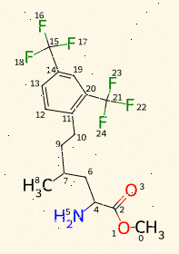 COC(=O)C(N)CC(C)CCc1ccc(C(F)(F)F)cc1C(F)(F)F